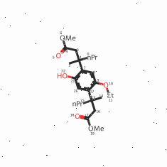 CCCC(C)(CC(=O)OC)c1cc(OCC)c(C(C)(CCC)CC(=O)OC)cc1O